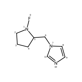 FN1CCCC1Cn1ccnc1